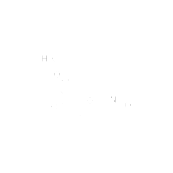 CCOc1ccc2c(c1)C(=O)c1cccc(OCCN3CCOCC3)c1-2